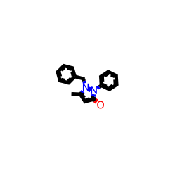 Cc1cc(=O)n(-c2ccccc2)n1Cc1ccccc1